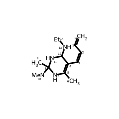 C=C/C=C\C1=C(C)NC(C)(NC)NC1NCC